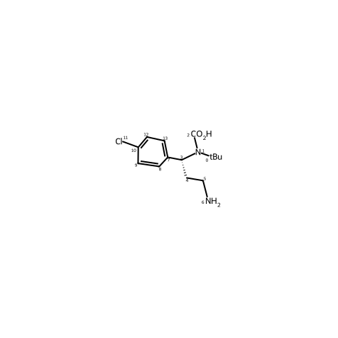 CC(C)(C)N(C(=O)O)[C@H](CCN)c1ccc(Cl)cc1